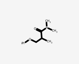 CC(C)OCC(C)C(=O)N(C)C